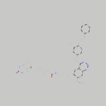 COc1cc2ncnc(Nc3ccc(OCc4cccc(F)c4)c(Cl)c3)c2cc1OCCNC(=O)CCCCC1SCC2NC(=O)NC21